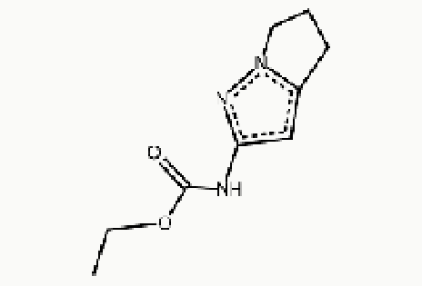 CCOC(=O)Nc1cc2n(n1)CCC2